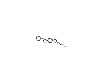 CCCCC[CH]Oc1ccc(OCc2ccccc2)cc1